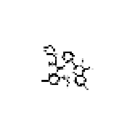 Cc1cc(C(C)Nc2ccc(C)nc2C(=O)NC[C@@H]2CCOC2)c2oc(-c3ccccc3)c(C)c(=O)c2c1